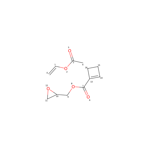 C=COC(C)=O.O=C(OCC1CO1)C1=CCC1